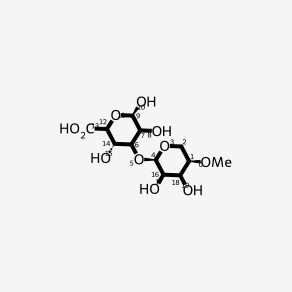 CO[C@@H]1CO[C@H](OC2C(O)[C@H](O)OC(C(=O)O)[C@H]2O)C(O)C1O